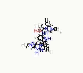 COc1nn(C)cc1Nc1ncc(C)c(-c2c[nH]c3c(NC(O)[C@@H](C)N4CCN(C)C[C@@H]4C)cccc23)n1